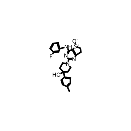 Cc1ccc(C2(O)CCN(c3nc4c(c(Nc5cccc(F)c5)n3)[S+]([O-])CC4)CC2)cc1